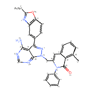 CC(=O)Nc1nc2cc(-c3nn(Cc4cc5cccc(C)c5c(=O)n4-c4ccccc4)c4ncnc(N)c34)ccc2o1